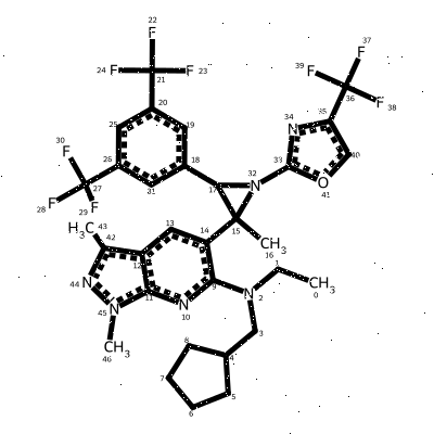 CCN(CC1CCCC1)c1nc2c(cc1C1(C)C(c3cc(C(F)(F)F)cc(C(F)(F)F)c3)N1c1nc(C(F)(F)F)co1)c(C)nn2C